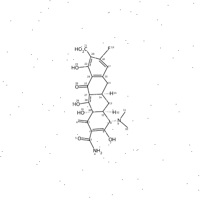 C=C1C(C(N)=O)=C(O)[C@@H](N(C)C)[C@@H]2C[C@@H]3Cc4cc(F)c(C(=O)O)c(O)c4C(=O)C3=C(O)[C@]12O